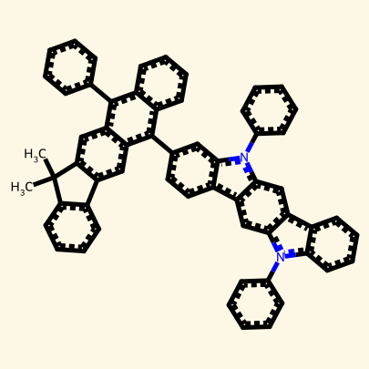 CC1(C)c2ccccc2-c2cc3c(-c4ccc5c6cc7c(cc6n(-c6ccccc6)c5c4)c4ccccc4n7-c4ccccc4)c4ccccc4c(-c4ccccc4)c3cc21